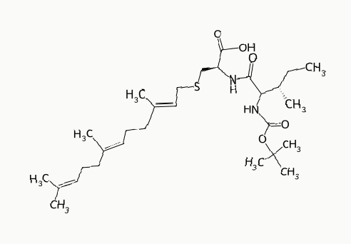 CC[C@H](C)C(NC(=O)OC(C)(C)C)C(=O)N[C@@H](CSC/C=C(\C)CC/C=C(\C)CCC=C(C)C)C(=O)O